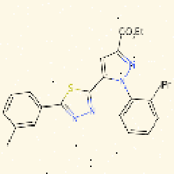 CCOC(=O)c1cc(-c2nnc(-c3cccc(C)c3)s2)n(-c2ccccc2C(C)C)n1